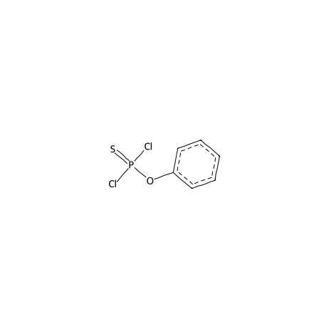 S=P(Cl)(Cl)Oc1ccccc1